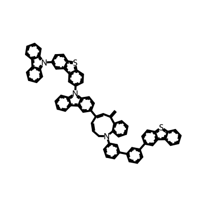 C=C1/C=C(c2ccc3c(c2)c2ccccc2n3-c2ccc3sc4ccc(-n5c6ccccc6c6ccccc65)cc4c3c2)\C=C/CN(c2cccc(-c3cccc(-c4ccc5sc6ccccc6c5c4)c3)c2)c2ccccc21